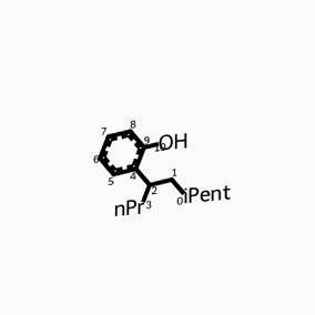 CCCC(C)CC(CCC)c1ccccc1O